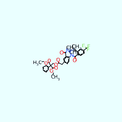 CCOC(=O)C(COC(=O)Cc1ccc(NC(=O)c2ccc(C(F)(F)F)cc2CC)c(C(=O)N(C)C)c1)(C(=O)OCC)c1ccccc1